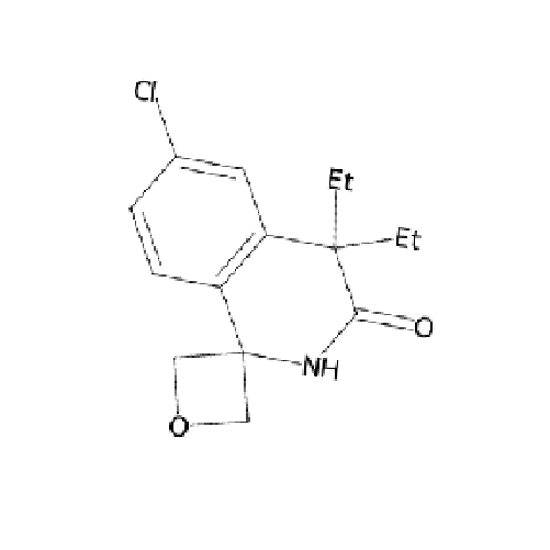 CCC1(CC)C(=O)NC2(COC2)c2ccc(Cl)cc21